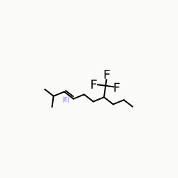 CCCC(CC/C=C/C(C)C)C(F)(F)F